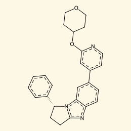 c1ccc([C@H]2CCc3nc4ccc(-c5ccnc(OC6CCOCC6)c5)cc4n32)cc1